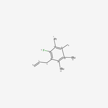 C=CCc1c(F)c(C(C)C)c(C)c(C(C)(C)C)c1C(C)(C)C